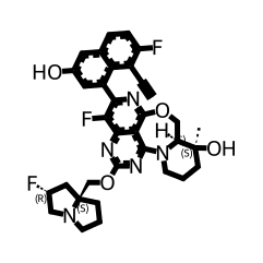 C#Cc1c(F)ccc2cc(O)cc(-c3nc4c5c(nc(OC[C@@]67CCCN6C[C@H](F)C7)nc5c3F)N3CCC[C@](C)(O)[C@@H]3CO4)c12